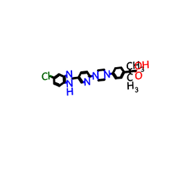 CC(C)(C(=O)O)C1=CC=C(N2CCN(c3ccc(-c4nc5cc(Cl)ccc5[nH]4)cn3)CC2)CC1